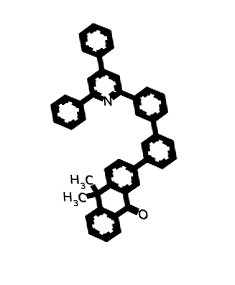 CC1(C)c2ccccc2C(=O)c2cc(-c3cccc(-c4cccc(-c5cc(-c6ccccc6)cc(-c6ccccc6)n5)c4)c3)ccc21